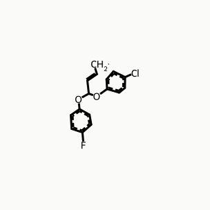 [CH2]C=CC(Oc1ccc(F)cc1)Oc1ccc(Cl)cc1